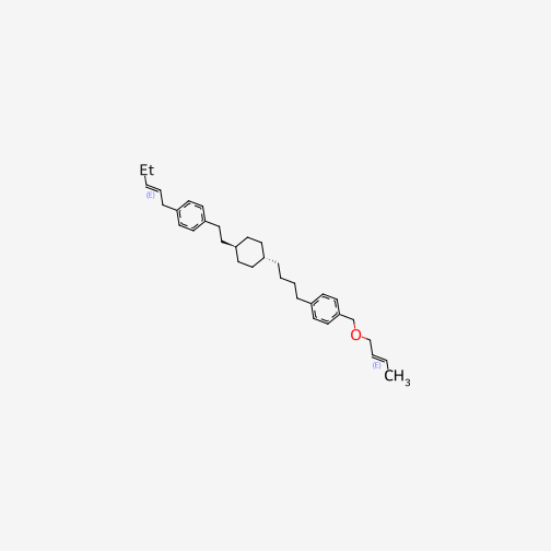 C/C=C/COCc1ccc(CCCC[C@H]2CC[C@H](CCc3ccc(C/C=C/CC)cc3)CC2)cc1